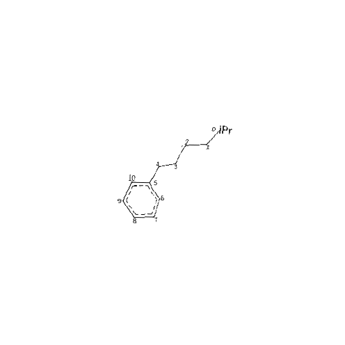 CC(C)C[CH]CCc1ccccc1